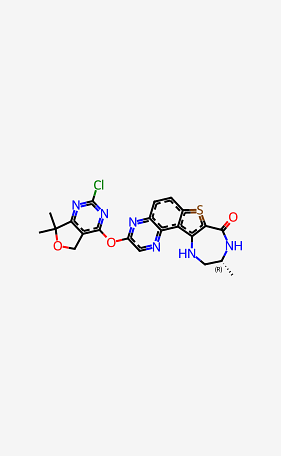 C[C@@H]1CNc2c(sc3ccc4nc(Oc5nc(Cl)nc6c5COC6(C)C)cnc4c23)C(=O)N1